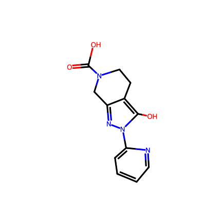 O=C(O)N1CCc2c(nn(-c3ccccn3)c2O)C1